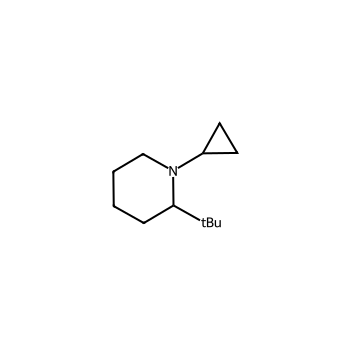 CC(C)(C)C1CCCCN1C1CC1